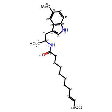 CCCCCCCCC=CCCCCCCCC(=O)NC(Cc1c[nH]c2ccc(OC)cc12)C(=O)O